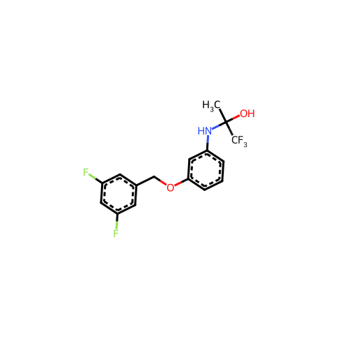 CC(O)(Nc1cccc(OCc2cc(F)cc(F)c2)c1)C(F)(F)F